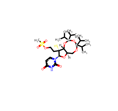 CC(C)[Si]1(C(C)C)OC[C@H]2O[C@@H](n3ccc(=O)[nH]c3=O)[C@@](S)(CCOS(C)(=O)=O)[C@@H]2O[Si](C(C)C)(C(C)C)O1